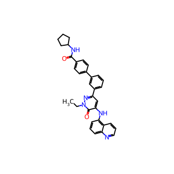 CCn1nc(-c2cccc(-c3ccc(C(=O)NC4CCCC4)cc3)c2)cc(Nc2cccc3ncccc23)c1=O